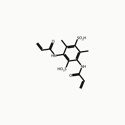 C=CC(=O)Nc1c(C)c(S(=O)(=O)O)c(C)c(NC(=O)C=C)c1S(=O)(=O)O